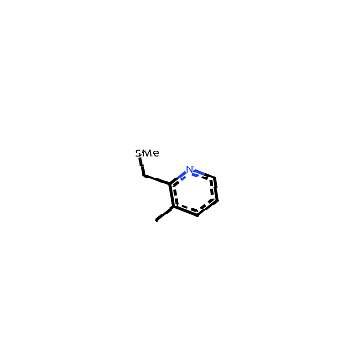 CSCc1ncccc1C